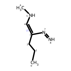 CCC/C(=C/NC)N=N